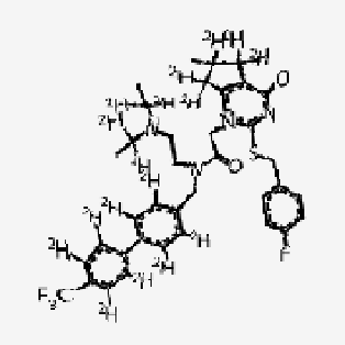 [2H]c1c([2H])c(-c2c([2H])c([2H])c(C(F)(F)F)c([2H])c2[2H])c([2H])c([2H])c1CN(CCN(C([2H])([2H])C)C([2H])([2H])C)C(=O)Cn1c(SCc2ccc(F)cc2)nc(=O)c2c1C([2H])([2H])C([2H])(C)C2([2H])[2H]